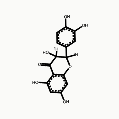 [2H]C1(O)C(=O)c2c(O)cc(O)cc2OC1([2H])c1ccc(O)c(O)c1